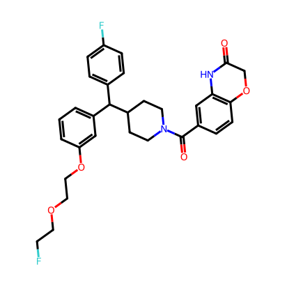 O=C1COc2ccc(C(=O)N3CCC(C(c4ccc(F)cc4)c4cccc(OCCOCCF)c4)CC3)cc2N1